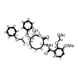 COc1ccnc(C(=O)N[C@H]2CCC[C@H](CCOc3ccccc3)[C@@H](Oc3ccccc3)[C@H](C)OC2=O)c1OCOC(C)=O